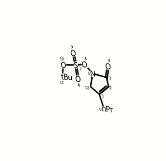 CCCC1=CC(=O)N(OS(=O)(=O)OC(C)(C)C)C1